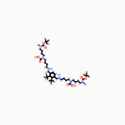 CN(CCCCN(CCCCNCc1ccc(CNCCCCN(CCCCN(C)C(=O)OC(C)(C)C)C(=O)O)c(C(C)(C)C)c1C(C)(C)C)C(=O)O)C(=O)OC(C)(C)C